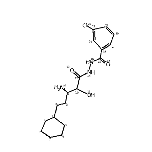 N[C@H](CCC1CCCCC1)C(O)C(=O)NNC(=O)c1cccc(Cl)c1